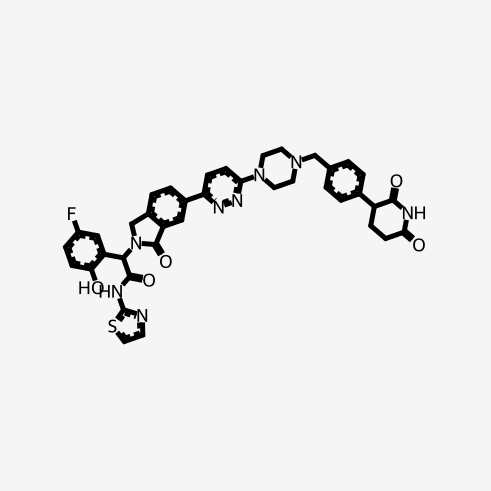 O=C1CCC(c2ccc(CN3CCN(c4ccc(-c5ccc6c(c5)C(=O)N(C(C(=O)Nc5nccs5)c5cc(F)ccc5O)C6)nn4)CC3)cc2)C(=O)N1